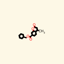 Cc1cc(=O)oc2cc(C(=O)OCc3ccccc3)ccc12